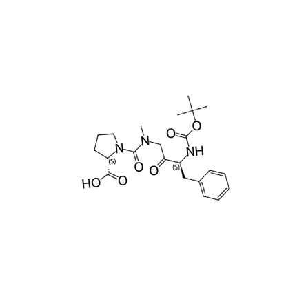 CN(CC(=O)[C@H](Cc1ccccc1)NC(=O)OC(C)(C)C)C(=O)N1CCC[C@H]1C(=O)O